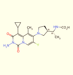 Cc1c(N2CC[C@@H]([C@@H](C)NC(=O)O)C2)c(F)cn2c(=O)n(N)c(=O)c(C3CC3)c12